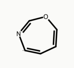 [C]1=CC=COC=N1